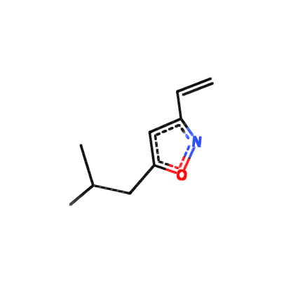 C=Cc1cc(CC(C)C)on1